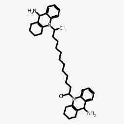 NC1C2=C(CCCC2)N(C(Cl)CCCCCCCCCCC(Cl)N2C3=C(CCCC3)C(N)c3ccccc32)c2ccccc21